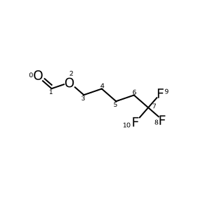 O=COCCCCC(F)(F)F